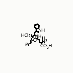 CC(C)CCOC(=O)[C@@H](Cc1c[nH]c2ccccc12)NC(=O)CC[C@@H](N)C(=O)O.Cl